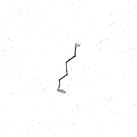 CNCCC[CH2][Sn]